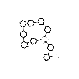 N#Cc1ccccc1-c1cccc(-c2nc(-c3cccc(-c4cccc(-c5ccccc5)c4)c3)nc(-c3ccc4c(c3)oc3cccc(-c5ccc(-c6ccccc6)cc5)c34)n2)c1